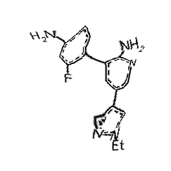 CCn1cc(-c2cnc(N)c(-c3ccc(N)cc3F)c2)cn1